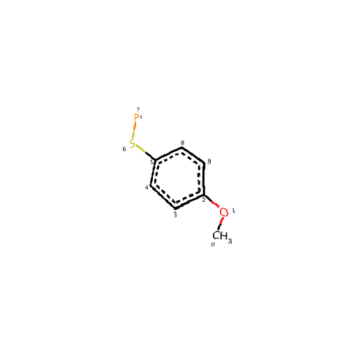 COc1ccc(S[P])cc1